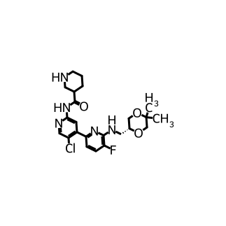 CC1(C)CO[C@H](CNc2nc(-c3cc(NC(=O)C4CCCNC4)ncc3Cl)ccc2F)CO1